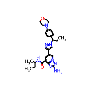 CCC(C)NC(=O)c1cc(-c2cnn(C(CC)c3ccc(N4CCOCC4)cc3)c2)cn2nc(N)nc12